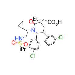 CC[C@]1(CC(=O)O)CC(c2cccc(Cl)c2)[C@@H](c2ccc(Cl)cc2)N(C(CNS(=O)(=O)C(C)C)C2CC2)C1=O